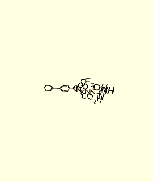 O=C(O)C[C@H](C(=N[C@H](CO)Cc1c[nH]cn1)OC(=O)C(F)(F)F)n1ccc(-c2ccc(-c3ccccc3)cc2)c1